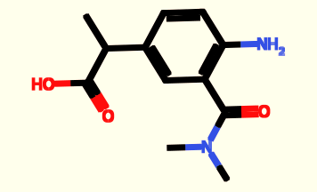 CC(C(=O)O)c1ccc(N)c(C(=O)N(C)C)c1